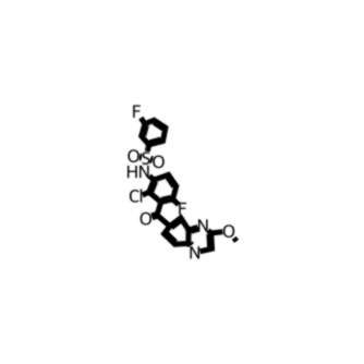 COc1cnc2ccc(C(=O)c3c(F)ccc(NS(=O)(=O)c4cccc(F)c4)c3Cl)cc2n1